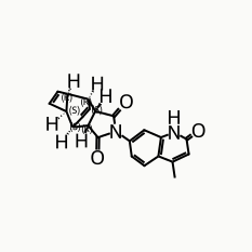 Cc1cc(=O)[nH]c2cc(N3C(=O)[C@@H]4[C@@H]5C=C[C@@H]([C@@H]6C=C[C@@H]65)[C@@H]4C3=O)ccc12